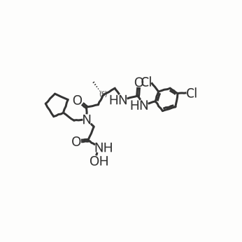 C[C@H](CNC(=O)Nc1ccc(Cl)cc1Cl)CC(=O)N(CC(=O)NO)CC1CCCC1